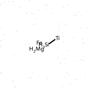 [Fe].[MgH2].[SiH3][Ti]